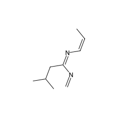 C=N/C(CC(C)C)=N\C=C/C